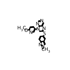 COc1ccc(N2CC(Sc3ccc4nn(C)cc4c3)=Nc3cncnc32)cn1